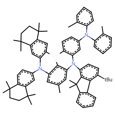 Cc1cc2c3c(c1)N(c1ccc(C(C)(C)C)c4c1C(C)(C)c1ccccc1-4)c1cc(N(c4ccccc4C)c4ccccc4C)ccc1B3c1cc3c(cc1N2c1ccc2c(c1)C(C)(C)CCC2(C)C)C(C)(C)CCC3(C)C